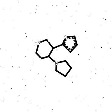 c1csc(C2CNCCC2N2CCCC2)c1